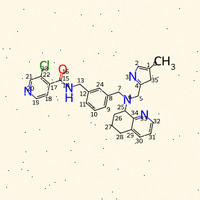 CC1=CN=C(CN(Cc2cccc(CNC(=O)c3ccncc3Cl)c2)C2CCCc3cccnc32)C1